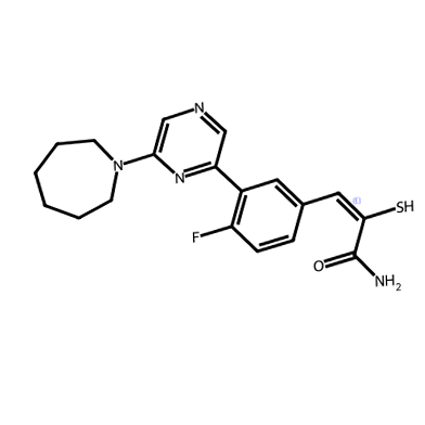 NC(=O)/C(S)=C\c1ccc(F)c(-c2cncc(N3CCCCCC3)n2)c1